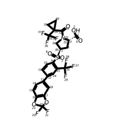 O=C(O)[C@@H]1C[C@@H](S(=O)(=O)c2ccc(-c3ccc4c(c3)OC(F)(F)O4)cc2C(F)(F)F)CN1C(=O)C1(C(F)(F)F)CC1